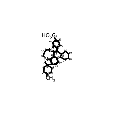 CN1CCC2(CC1)CN1CCCn3c(c(C4CCCCC4)c4ccc(C(=O)O)cc43)-c3cccc2c31